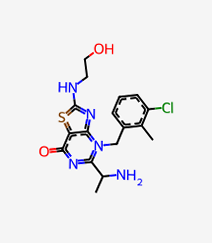 Cc1c(Cl)cccc1Cn1c(C(C)N)nc(=O)c2sc(NCCO)nc21